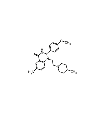 COc1ccc(C2NC(=O)c3cc(N)ccc3N2CCN2CCC(C)CC2)cc1